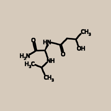 CC(O)CC(=O)N[C@@H](NC(C)C)C(N)=O